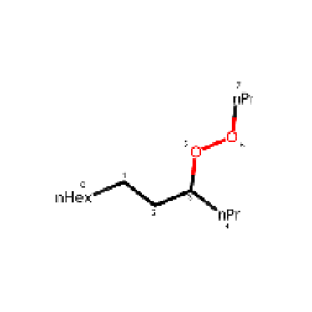 CCCCCCCCC(CCC)OOCCC